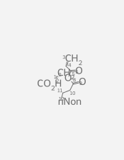 C=CC(=O)O.C=CC(=O)OC(=O)CCCCCCCCCCC